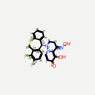 O=c1ccn2c(c1O)/C(=N/O)CCN2[C@@H]1c2ccccc2SCc2c1ccc(F)c2F